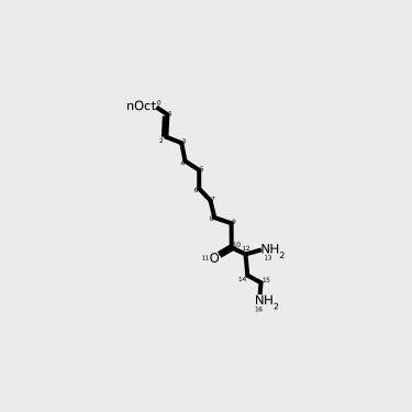 CCCCCCCCC=CCCCCCCCC(=O)C(N)CCN